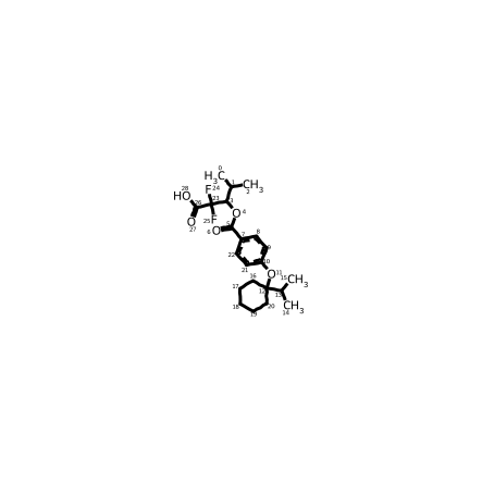 CC(C)C(OC(=O)c1ccc(OC2(C(C)C)CCCCC2)cc1)C(F)(F)C(=O)O